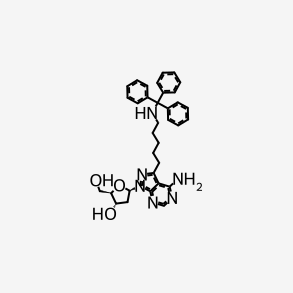 Nc1ncnc2c1c(CCCCCNC(c1ccccc1)(c1ccccc1)c1ccccc1)nn2[C@H]1C[C@H](O)[C@@H](CO)O1